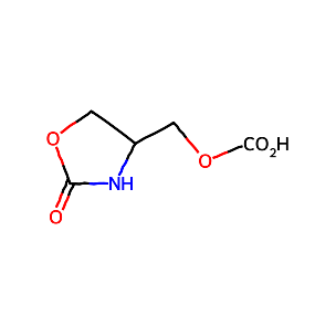 O=C(O)OCC1COC(=O)N1